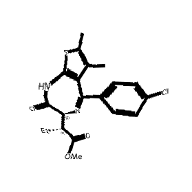 CC[C@@H](C(=O)OC)[C@@H]1N=C(c2ccc(Cl)cc2)c2c(sc(C)c2C)NC1=O